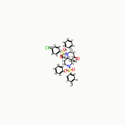 Cc1ccc(S(=O)(=O)N2C[C@H]3C(=O)C[C@@H](c4ccccc4)N(S(=O)(=O)c4ccc(Cl)cc4)[C@H]3C[C@H]2c2ccccc2)cc1